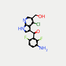 Nc1ccc(F)c(C(=O)c2c[nH]c3ncc(CO)c(Cl)c23)c1F